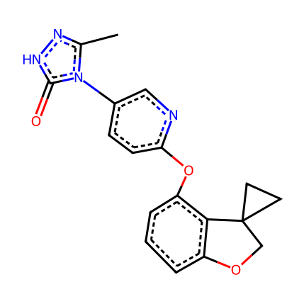 Cc1n[nH]c(=O)n1-c1ccc(Oc2cccc3c2C2(CC2)CO3)nc1